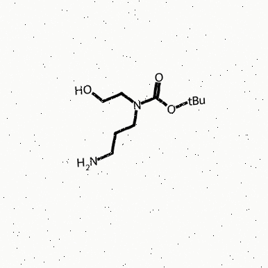 CC(C)(C)OC(=O)N(CCO)CCCN